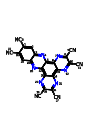 N#Cc1cc2nc3c4nc(C#N)c(C#N)nc4c4nc(C#N)c(C#N)nc4c3nc2cc1C#N